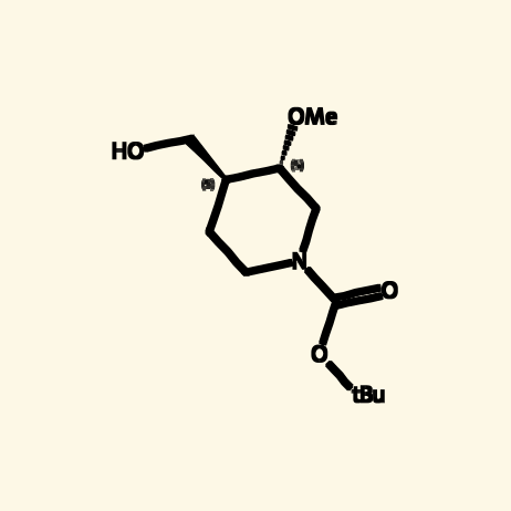 CO[C@@H]1CN(C(=O)OC(C)(C)C)CC[C@H]1CO